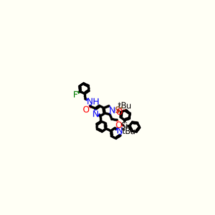 CC(C)(C)[S@@+]([O-])N1Cc2cc(C(=O)NCc3ccccc3F)nc(-c3cccc(-c4cccnc4)c3)c2C1CCO[Si](c1ccccc1)(c1ccccc1)C(C)(C)C